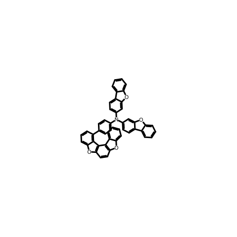 c1ccc2c(c1)oc1cc(N(c3ccc(-c4cccc5oc6ccc7oc8ccccc8c7c6c45)cc3)c3ccc4c(c3)oc3ccccc34)ccc12